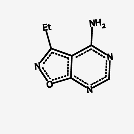 CCc1noc2ncnc(N)c12